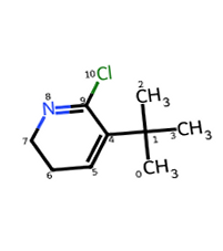 CC(C)(C)C1=CCCN=C1Cl